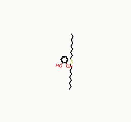 CCCCCCCCCSCCCCCCCCC.Oc1ccccc1O